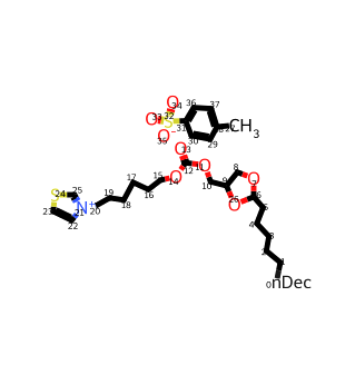 CCCCCCCCCCCCCCCC1OCC(COC(=O)OCCCCCC[n+]2ccsc2)O1.Cc1ccc(S(=O)(=O)[O-])cc1